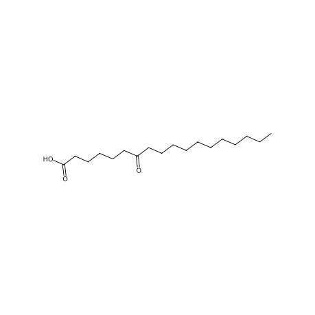 CCCCCCCCCCCC(=O)CCCCCC(=O)O